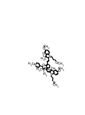 COCCCN1/C(=C/C=C2\CCC(/C=C/C3=[N+](CCCOC)c4ccc(OC)cc4C3(C)C)=C2OC(c2cc[n+](C)cc2)C(C)(C)C)C(C)(C)c2cc(OC)ccc21